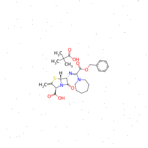 C=C1S[C@@H]2[C@H](N=C(C(=O)OCc3ccccc3)N3CCCCCC3)C(=O)N2[C@H]1C(=O)O.CC(C)(C)C(=O)O